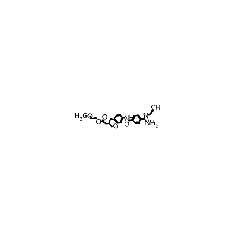 C#CCN=C(N)c1ccc(C(=O)Nc2ccc3c(c2)OCC(CC(=O)OCCOC)C3)cc1